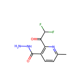 Cc1ccc(C(=O)NN)c(C(=O)C(F)F)n1